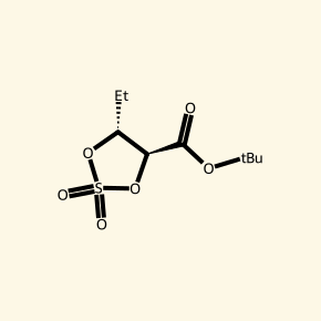 CC[C@H]1OS(=O)(=O)O[C@@H]1C(=O)OC(C)(C)C